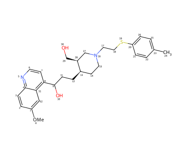 COc1ccc2nccc(C(O)CC[C@@H]3CCN(CCSc4ccc(C)cc4)C[C@@H]3CO)c2c1